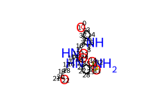 COc1ccc2[nH]c(C)c(CC(=O)N[C@@H](CCCCCC(C)=O)C(=O)Nc3cccc(S(N)(=O)=O)c3)c2c1